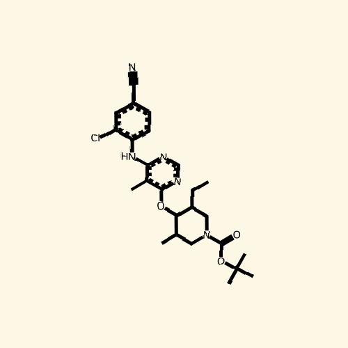 CCC1CN(C(=O)OC(C)(C)C)CC(C)C1Oc1ncnc(Nc2ccc(C#N)cc2Cl)c1C